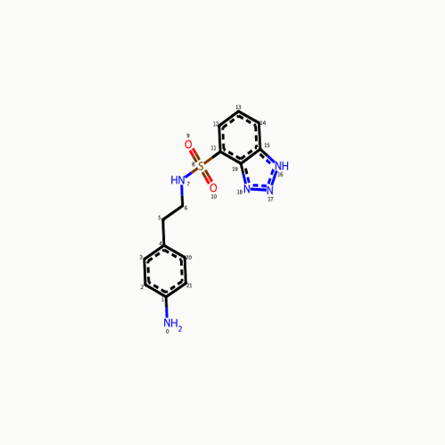 Nc1ccc(CCNS(=O)(=O)c2cccc3[nH]nnc23)cc1